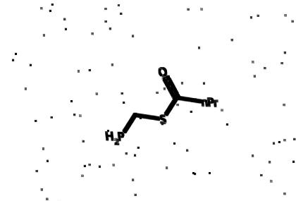 CCCC(=O)SCP